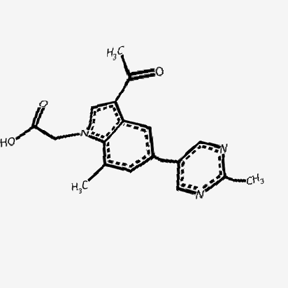 CC(=O)c1cn(CC(=O)O)c2c(C)cc(-c3cnc(C)nc3)cc12